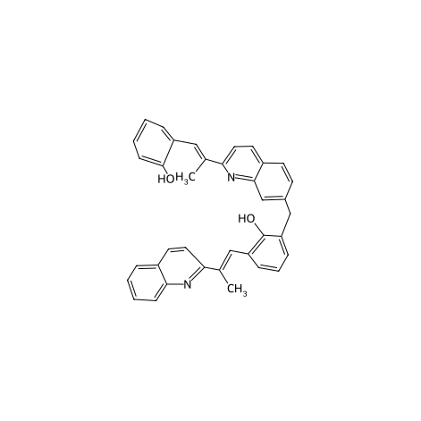 C/C(=C\c1cccc(Cc2ccc3ccc(/C(C)=C/c4ccccc4O)nc3c2)c1O)c1ccc2ccccc2n1